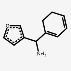 NC(C1=CC=CCC1)c1ccoc1